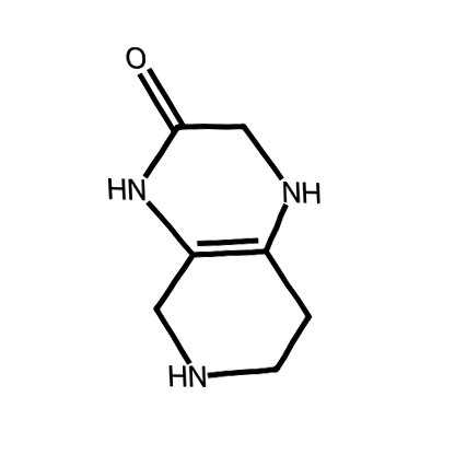 O=C1CNC2=C(CNCC2)N1